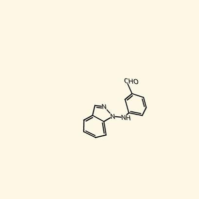 O=Cc1cccc(Nn2ncc3ccccc32)c1